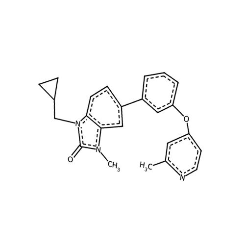 Cc1cc(Oc2cccc(-c3ccc4c(c3)n(C)c(=O)n4CC3CC3)c2)ccn1